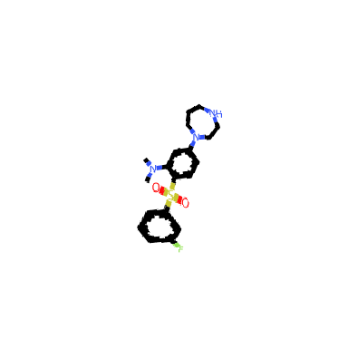 CN(C)c1cc(N2CCCNCC2)ccc1S(=O)(=O)c1cccc(F)c1